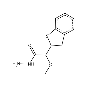 COC(C(=O)NN)C1Cc2ccccc2S1